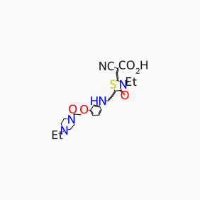 CCN1CCN(C(=O)COc2cccc(NC=C=c3sc(=C=C(C#N)C(=O)O)n(CC)c3=O)c2)CC1